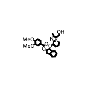 COc1ccc(C(=O)OC2Cc3ccccc3C2Oc2cccn3c(CO)c(C)nc23)cc1OC